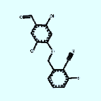 N#Cc1c(Br)cccc1COc1cc(O)c(C=O)cc1Cl